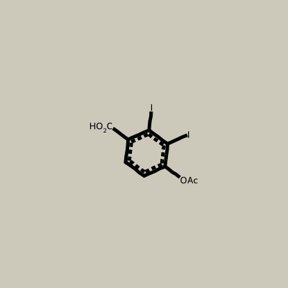 CC(=O)Oc1ccc(C(=O)O)c(I)c1I